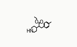 CCOC(=O)C(Cc1ccc(C)cc1)C1CCNCC1